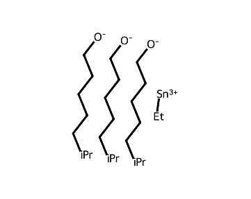 CC(C)CCCCC[O-].CC(C)CCCCC[O-].CC(C)CCCCC[O-].C[CH2][Sn+3]